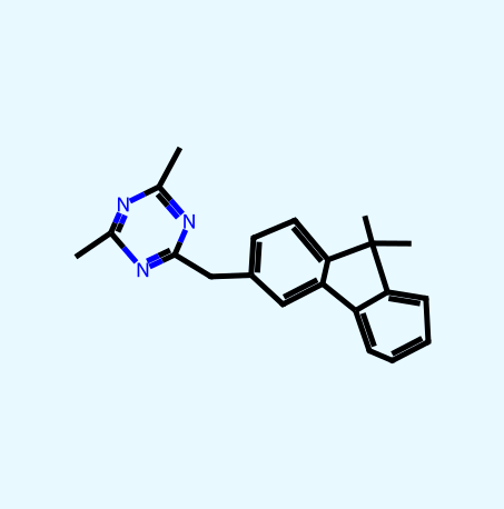 Cc1nc(C)nc(Cc2ccc3c(c2)-c2ccccc2C3(C)C)n1